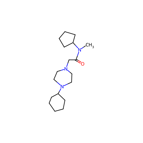 CN(C(=O)CN1CCN(C2CCCCC2)CC1)C1CCCC1